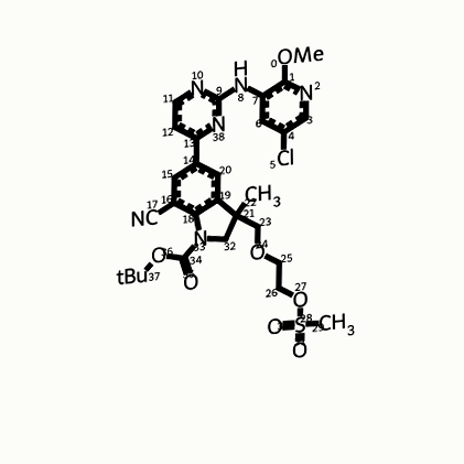 COc1ncc(Cl)cc1Nc1nccc(-c2cc(C#N)c3c(c2)C(C)(COCCOS(C)(=O)=O)CN3C(=O)OC(C)(C)C)n1